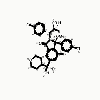 CC[C@@](O)(c1cc(F)c2c(c1)C(=O)N([C@H](c1ccc(Cl)cc1)[C@H](C)C(=O)O)[C@]2(OC)c1ccc(Cl)cc1)C1CCOCC1